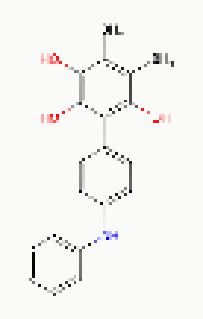 Bc1c(B)c(O)c(-c2ccc(Nc3ccccc3)cc2)c(O)c1O